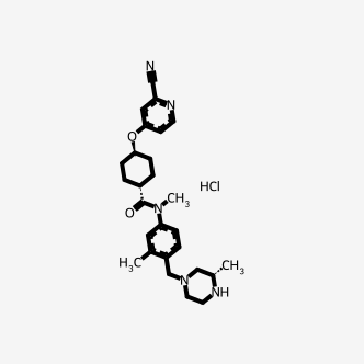 Cc1cc(N(C)C(=O)[C@H]2CC[C@H](Oc3ccnc(C#N)c3)CC2)ccc1CN1CCN[C@@H](C)C1.Cl